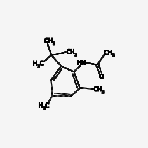 CC(=O)Nc1c(C)cc(C)cc1C(C)(C)C